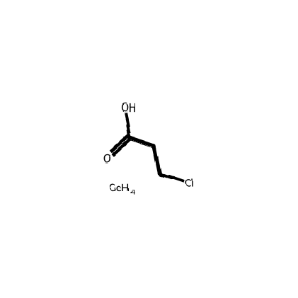 O=C(O)CCCl.[GeH4]